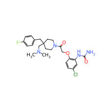 CN(C)CC1(Cc2ccc(F)cc2)CCN(C(=O)COc2ccc(Cl)cc2NC(N)=O)CC1